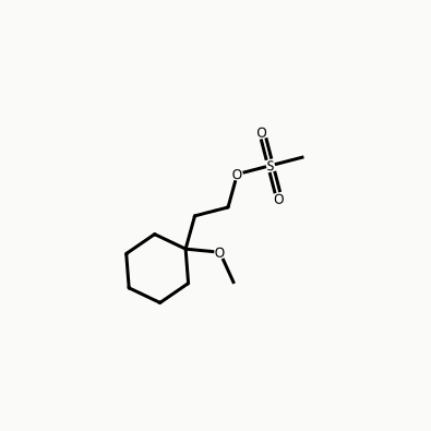 COC1(CCOS(C)(=O)=O)CCCCC1